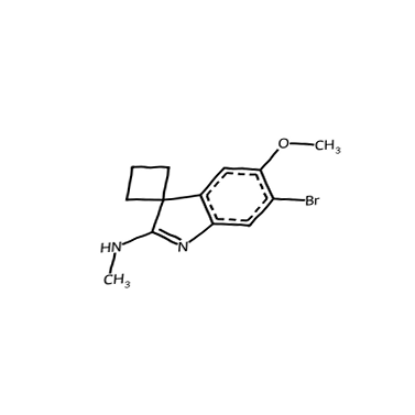 CNC1=Nc2cc(Br)c(OC)cc2C12CCC2